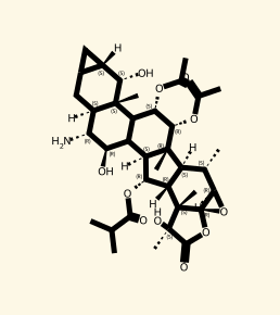 CC(=O)O[C@H]1C2C([C@@H](O)[C@H](N)[C@H]3CC4C[C@@H]4[C@H](O)[C@]23C)[C@@H]2[C@@H](OC(=O)C(C)C)[C@@H]3[C@H]([C@H](C)[C@H]4O[C@]45OC(=O)[C@@](C)(O)[C@]35C)[C@@]2(C)[C@H]1OC(C)=O